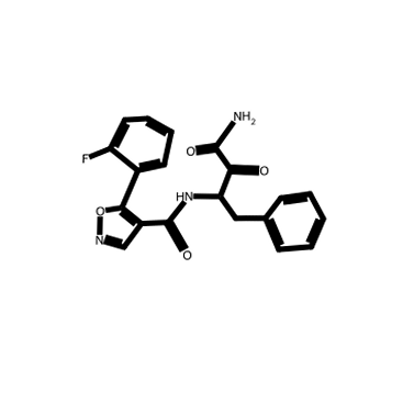 NC(=O)C(=O)C(Cc1ccccc1)NC(=O)c1cnoc1-c1ccccc1F